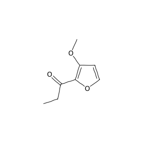 CCC(=O)c1occc1OC